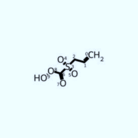 C=CCS(=O)(=O)C(=O)OO